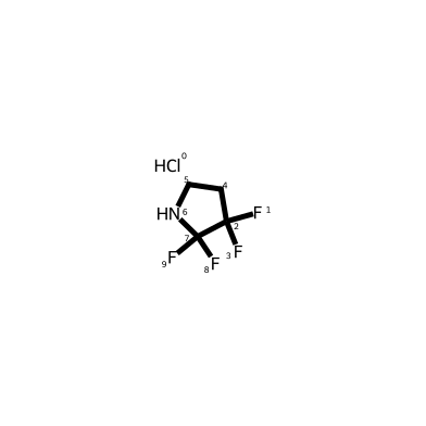 Cl.FC1(F)CCNC1(F)F